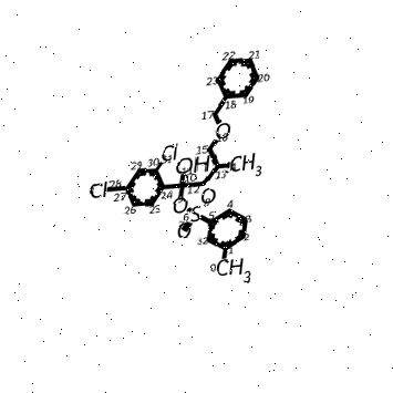 Cc1cccc(S(=O)(=O)OC(O)(CC(C)COCc2ccccc2)c2ccc(Cl)cc2Cl)c1